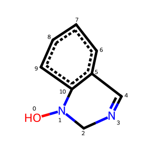 ON1CN=Cc2ccccc21